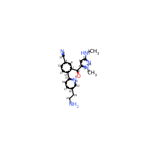 CNc1cc(C(=O)c2cc(C#N)ccc2-c2ccc(CCN)cn2)n(C)n1